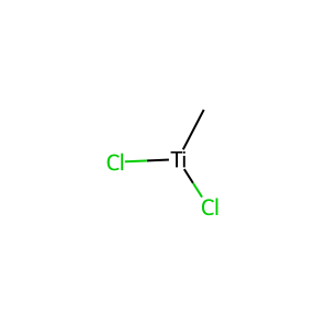 [CH3][Ti]([Cl])[Cl]